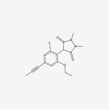 CC#Cc1cc(F)c(C2C(=O)N(C)N(C)C2=O)c(OCC)c1